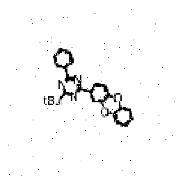 CC(C)(C)c1nc(-c2ccccc2)nc(-c2ccc3c(c2)Oc2ccccc2O3)n1